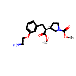 CC(C)(C)OC(=O)C(Cc1cccc(OCCN)c1)[C@H]1CCN(C(=O)OC(C)(C)C)C1